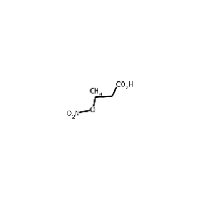 C.O=C(O)CCO[N+](=O)[O-]